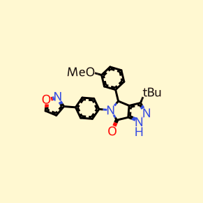 COc1cccc(C2c3c(C(C)(C)C)n[nH]c3C(=O)N2c2ccc(-c3ccon3)cc2)c1